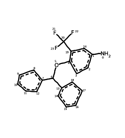 Nc1ccc(OC(c2ccccc2)c2ccccc2)c(C(F)(F)F)c1